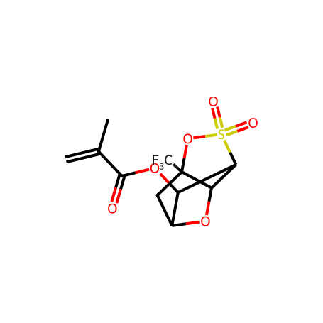 C=C(C)C(=O)OC1C2CC3(C(F)(F)F)OS(=O)(=O)C1C3O2